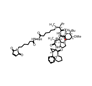 CC[C@H](C)[C@@H]([C@@H](CC(=O)N1CCC[C@H]1[C@H](OC)[C@@H](C)C(=O)N[C@@]1(C(=O)N2CCCCO2)C[C@@H]1c1ccccc1)OC)N(C)C(=O)[C@@H](NC(=O)[C@H](C(C)C)N(C)CCCCCC(=O)NNC(=O)CCCCCN1C(=O)C=CC1=O)C(C)C